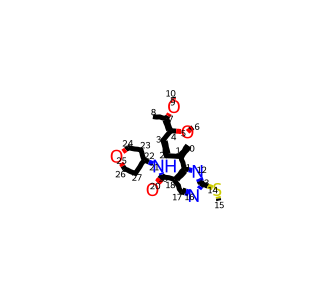 C=C(/C=C\C(OC)=C(/C)OC)c1nc(SC)ncc1C(=O)NC1CCOCC1